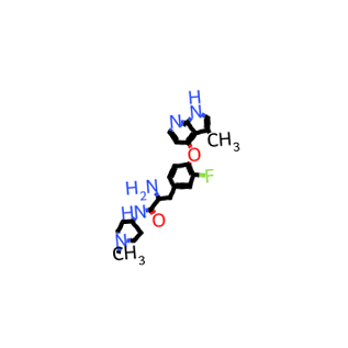 Cc1c[nH]c2nccc(Oc3ccc(CC(N)C(=O)NC4CCN(C)CC4)cc3F)c12